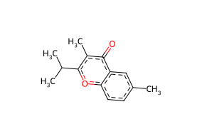 Cc1ccc2oc(C(C)C)c(C)c(=O)c2c1